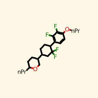 CCCOc1ccc(C2CCC(C3CCC(CCC)OC3)CC2(F)F)c(F)c1F